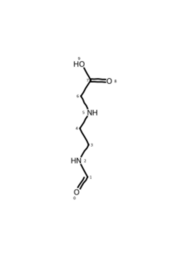 O=CNCCNCC(=O)O